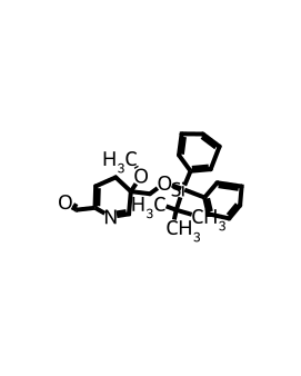 COC1(CO[Si](c2ccccc2)(c2ccccc2)C(C)(C)C)C=NC(C=O)=CC1